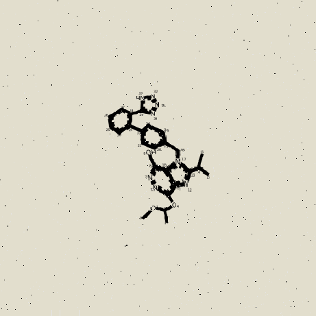 COC(C)Oc1nnc(O)c2c1nc(C(C)C)n2Cc1ccc(-c2ccccc2-c2nnn[nH]2)cc1